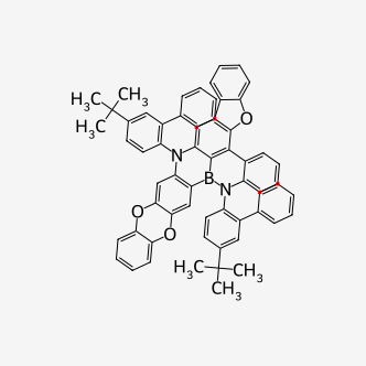 CC(C)(C)c1ccc(N2B3c4cc5c(cc4N(c4ccc(C(C)(C)C)cc4-c4ccccc4)c4cc6c(oc7ccccc76)c(c43)-c3ccccc32)Oc2ccccc2O5)c(-c2ccccc2)c1